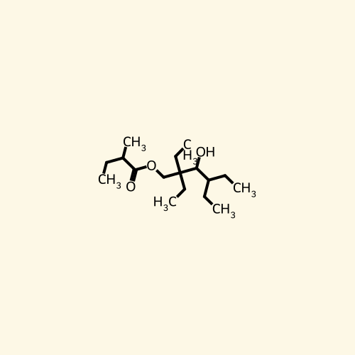 CCC(C)C(=O)OCC(CC)(CC)C(O)C(CC)CC